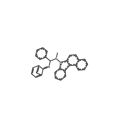 CN(C(N=C1C2=CC=CC1=C2)c1ccccc1)n1c2ccccc2c2c3ccccc3ccc21